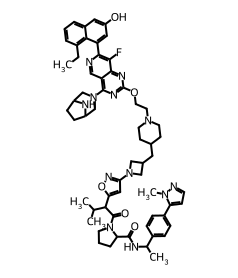 CCc1cccc2cc(O)cc(-c3ncc4c(N5CC6CCC(C5)N6)nc(OCCN5CCC(CC6CN(c7cc(C(C(=O)N8CCCC8C(=O)NC(C)c8ccc(-c9ccnn9C)cc8)C(C)C)on7)C6)CC5)nc4c3F)c12